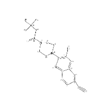 C#Cc1ccc2nc(N3CCN(C(=C)CC(C)(C)C)CC3)c(Cl)cc2c1